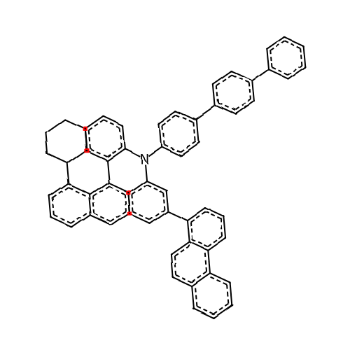 c1ccc(-c2ccc(-c3ccc(N(c4cccc(-c5cccc6c5ccc5ccccc56)c4)c4ccccc4-c4cccc5cccc(C6CCCCC6)c45)cc3)cc2)cc1